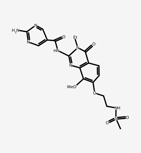 CCn1c(NC(=O)c2cnc(N)nc2)nc2c(OC)c(OCCNS(C)(=O)=O)ccc2c1=O